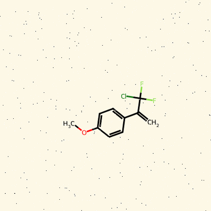 C=C(c1ccc(OC)cc1)C(F)(F)Cl